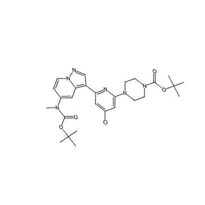 CN(C(=O)OC(C)(C)C)c1ccn2ncc(-c3cc(Cl)cc(N4CCN(C(=O)OC(C)(C)C)CC4)n3)c2c1